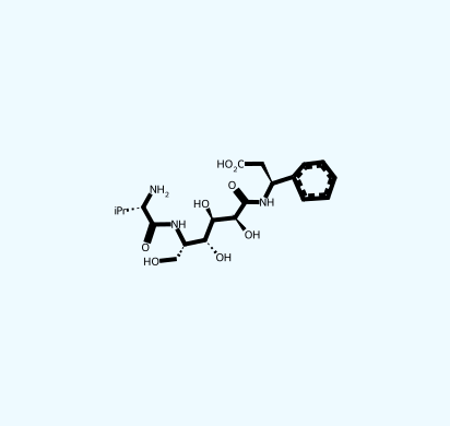 CC(C)[C@H](N)C(=O)N[C@@H](CO)[C@@H](O)[C@@H](O)[C@H](O)C(=O)N[C@@H](CC(=O)O)c1ccccc1